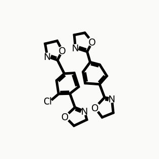 Clc1cc(C2=NCCO2)ccc1C1=NCCO1.c1cc(C2=NCCO2)ccc1C1=NCCO1